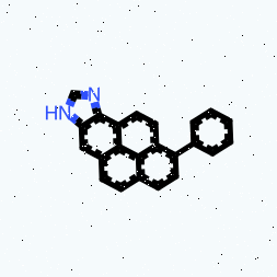 c1ccc(-c2ccc3ccc4cc5[nH]cnc5c5ccc2c3c45)cc1